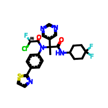 CC(C(=O)NC1CCC(F)(F)CC1)(c1cncnc1)N(C(=O)[C@H](F)Cl)c1ccc(-c2nccs2)cc1